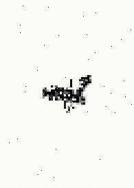 Cc1onc(OC[C@@H]2COCCN2)c1-c1ccn2nc(NC(=O)C3CC3)cc2c1